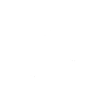 O=C(O)COc1ccc(C(F)(F)F)cc1-c1ccc(OC(F)(F)F)cc1